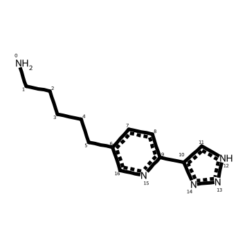 NCCCCCc1ccc(-c2c[nH]nn2)nc1